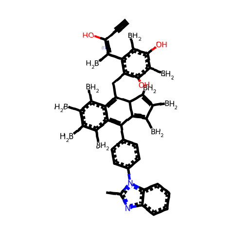 BC1=C(B)C2C(=C1B)C(c1ccc(-n3c(C)nc4ccccc43)cc1)=c1c(B)c(B)c(B)c(B)c1=C2Cc1c(O)c(B)c(O)c(B)c1/C(B)=C(/O)C#C